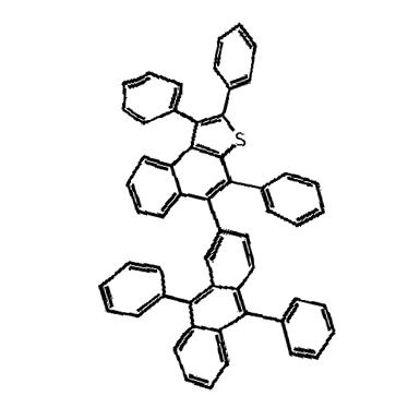 c1ccc(-c2sc3c(-c4ccccc4)c(-c4ccc5c(-c6ccccc6)c6ccccc6c(-c6ccccc6)c5c4)c4ccccc4c3c2-c2ccccc2)cc1